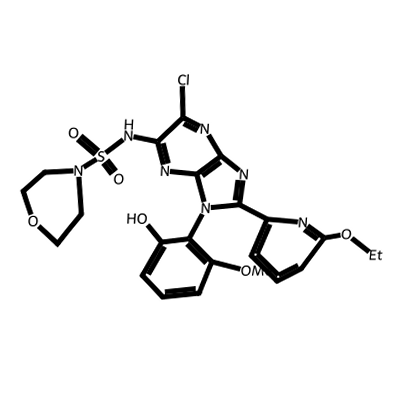 CCOC1=NC(c2nc3nc(Cl)c(NS(=O)(=O)N4CCOCC4)nc3n2-c2c(O)cccc2OC)=C=C=C1